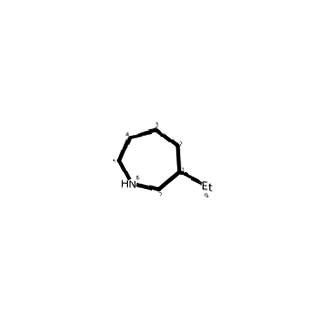 [CH2]CC1CCCCNC1